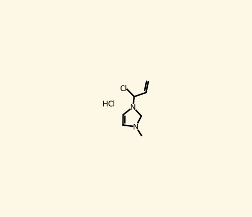 C=CC(Cl)N1C=CN(C)C1.Cl